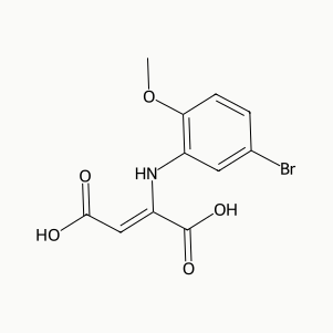 COc1ccc(Br)cc1N/C(=C\C(=O)O)C(=O)O